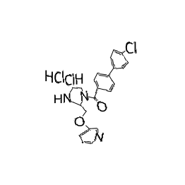 Cl.Cl.O=C(c1ccc(-c2ccc(Cl)cc2)cc1)N1CCNCC1COc1cccnc1